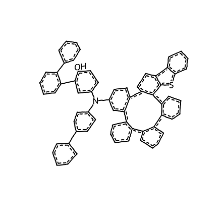 Oc1ccc(N(c2ccc(-c3ccccc3)cc2)c2ccc3c(c2)c2ccccc2c2ccccc2c2ccccc2c2c3ccc3c4ccccc4sc32)cc1-c1ccccc1-c1ccccc1